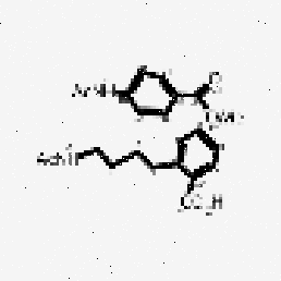 CC(=O)NCCCCc1ccccc1C(=O)O.COC(=O)c1ccc(NC(C)=O)cc1